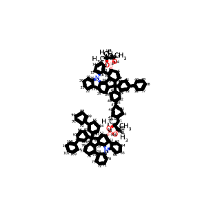 CC1(C)OB(c2ccc3c4c2-c2ccccc2-n2c5ccccc5c5ccc(c-4c52)C3(c2ccc(-c3ccccc3)cc2)c2ccc(-c3ccc(CC4(C)OB(c5cc6c7c8c5c5ccccc5n8-c5ccccc5-c5cccc(c5-7)C6(c5cccc(-c6ccccc6)c5)c5cccc(-c6ccccc6)c5)OC4(C)C)cc3)cc2)OC1(C)C